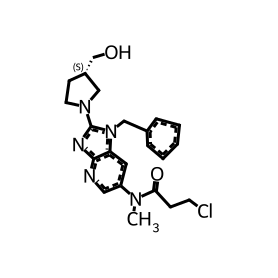 CN(C(=O)CCCl)c1cnc2nc(N3CC[C@H](CO)C3)n(Cc3ccccc3)c2c1